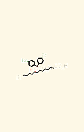 CC(C)CCCCCCCCCCCCC(=O)O.O=C(O)C(O)(c1ccc(Br)cc1)c1ccc(Br)cc1